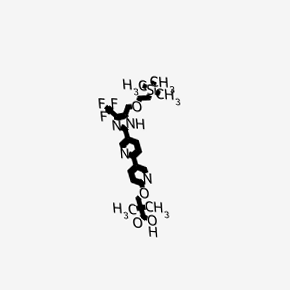 CC(C)(COc1ccc(-c2ccc(-c3nc(C(F)(F)F)c(COCC[Si](C)(C)C)[nH]3)cn2)cn1)C(=O)O